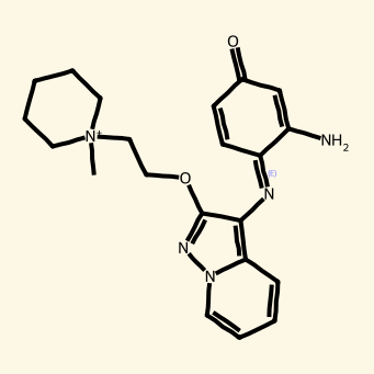 C[N+]1(CCOc2nn3ccccc3c2/N=C2\C=CC(=O)C=C2N)CCCCC1